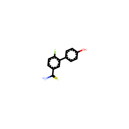 NC(=S)c1ccc(F)c(-c2ccc(O)cc2)c1